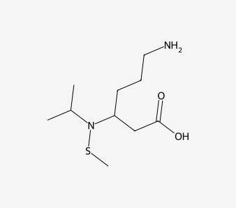 CSN(C(C)C)C(CCCN)CC(=O)O